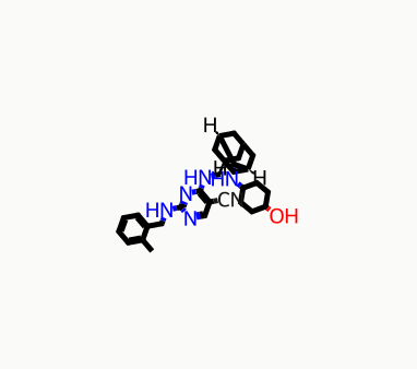 Cc1ccccc1CNc1ncc(C#N)c(NC[C@]23CC4C[C@H](C2)[C@@H](NC2CCC(O)CC2)[C@@H](C4)C3)n1